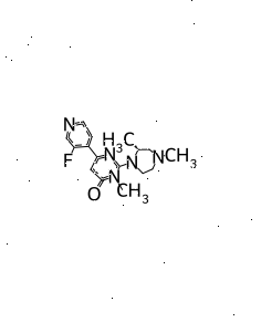 C[C@H]1CN(C)CCN1c1nc(-c2ccncc2F)cc(=O)n1C